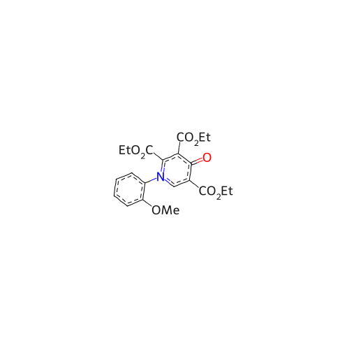 CCOC(=O)c1cn(-c2ccccc2OC)c(C(=O)OCC)c(C(=O)OCC)c1=O